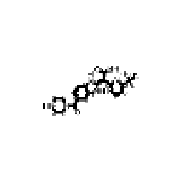 NC(=O)C(=C1Nc2ccc(C(=O)N3CCNCC3)cc2N1)c1nccc(C(F)(F)F)n1